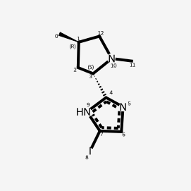 C[C@@H]1C[C@@H](c2ncc(I)[nH]2)N(C)C1